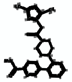 CNC(=O)c1ccc(-c2ccccc2N2CCN(C(=O)Cn3nc(C)cc3C)CC2)cn1